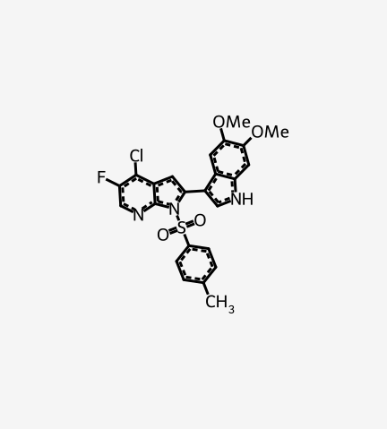 COc1cc2[nH]cc(-c3cc4c(Cl)c(F)cnc4n3S(=O)(=O)c3ccc(C)cc3)c2cc1OC